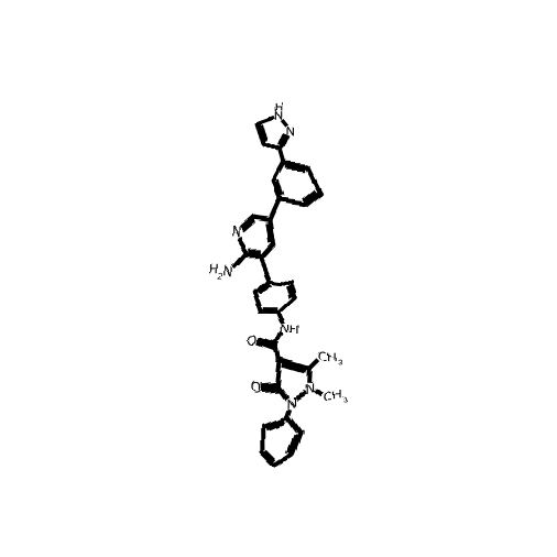 Cc1c(C(=O)Nc2ccc(-c3cc(-c4cccc(-c5cc[nH]n5)c4)cnc3N)cc2)c(=O)n(-c2ccccc2)n1C